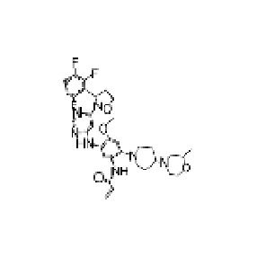 C=CC(=O)Nc1cc(Nc2cc(N3OCCC3c3c(F)ccc(F)c3F)ncn2)c(OC)cc1N1CCC(N2CCOC(C)C2)CC1